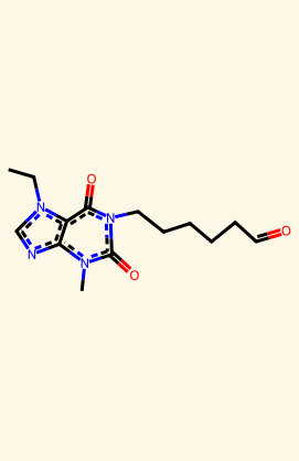 CCn1cnc2c1c(=O)n(CCCCCC=O)c(=O)n2C